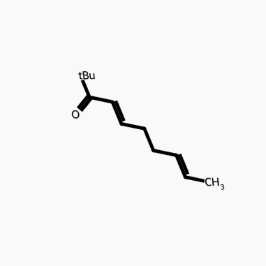 C/C=C/CC/C=C/C(=O)C(C)(C)C